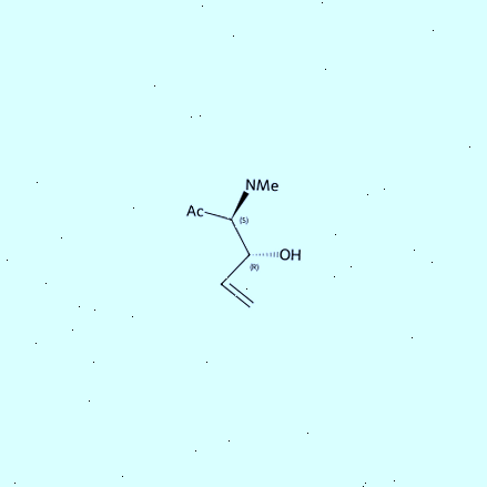 C=C[C@@H](O)[C@H](NC)C(C)=O